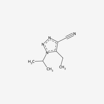 CCc1c(C#N)nnn1C(C)C